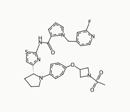 CS(=O)(=O)N1CC(Oc2ccc(N3CCC[C@@H]3c3csc(NC(=O)c4cccn4Cc4ccnc(F)c4)n3)cc2)C1